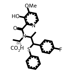 COc1ccnc(C(=O)N(C(C)C(Sc2ccccc2)c2ccc(F)cc2)[C@@H](C)C(=O)O)c1O